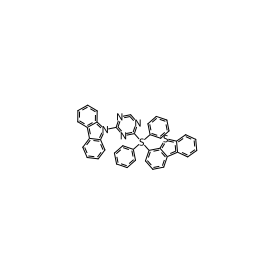 c1ccc(S(c2ccccc2)(c2ncnc(-n3c4ccccc4c4ccccc43)n2)c2cccc3c2sc2ccccc23)cc1